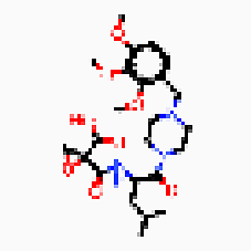 COc1ccc(CN2CCN(C(=O)C(CC(C)C)NC(=O)C3(C(=O)O)CO3)CC2)c(OC)c1OC